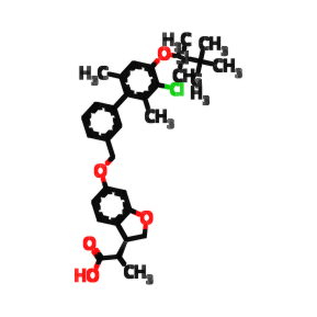 Cc1cc(O[Si](C)(C)C(C)(C)C)c(Cl)c(C)c1-c1cccc(COc2ccc3c(c2)OC[C@H]3C(C)C(=O)O)c1